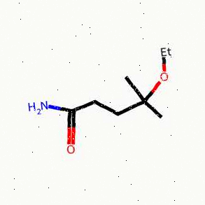 CCOC(C)(C)CCC(N)=O